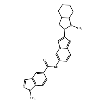 CN1C2CCCCC2C[C@@H]1c1cn2cc(NC(=O)c3ccc4c(cnn4C)c3)ccc2n1